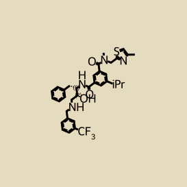 Cc1csc(CN(C)C(=O)c2cc(C(=O)N[C@@H](Cc3ccccc3)[C@H](O)CNCc3cccc(C(F)(F)F)c3)cc(C(C)C)c2)n1